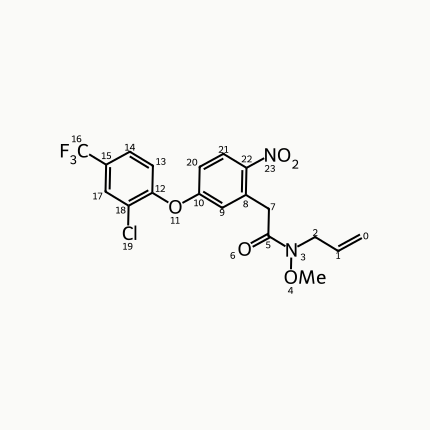 C=CCN(OC)C(=O)Cc1cc(Oc2ccc(C(F)(F)F)cc2Cl)ccc1[N+](=O)[O-]